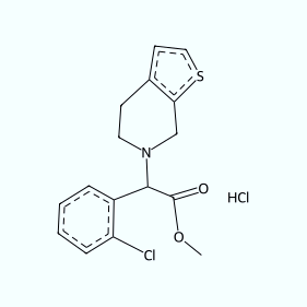 COC(=O)C(c1ccccc1Cl)N1CCc2ccsc2C1.Cl